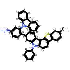 CC1C=Cc2c(sc3c2ccc2c3c3c(n2-c2ccccc2)CC(c2ccc(N)cc2-n2c4ccccc4c4ccccc42)C=C3)C1